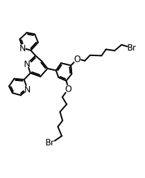 BrCCCCCCOc1cc(OCCCCCCBr)cc(-c2cc(-c3ccccn3)nc(-c3ccccn3)c2)c1